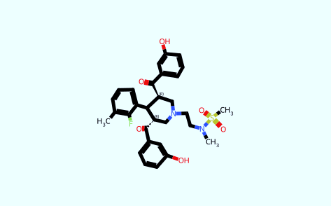 Cc1cccc(C2[C@@H](C(=O)c3cccc(O)c3)CN(CCN(C)S(C)(=O)=O)C[C@@H]2C(=O)c2cccc(O)c2)c1F